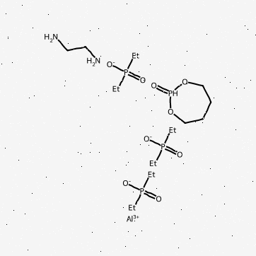 CCP(=O)([O-])CC.CCP(=O)([O-])CC.CCP(=O)([O-])CC.NCCN.O=[PH]1OCCCCO1.[Al+3]